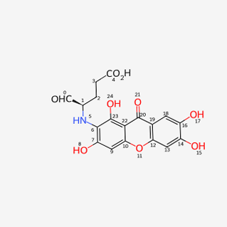 O=C[C@@H](CCC(=O)O)Nc1c(O)cc2oc3cc(O)c(O)cc3c(=O)c2c1O